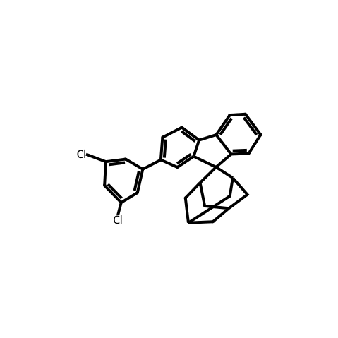 Clc1cc(Cl)cc(-c2ccc3c(c2)C2(c4ccccc4-3)C3CC4CC(C3)CC2C4)c1